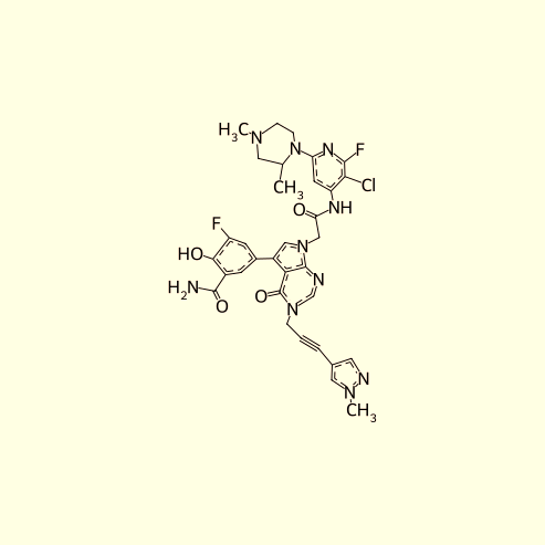 CC1CN(C)CCN1c1cc(NC(=O)Cn2cc(-c3cc(F)c(O)c(C(N)=O)c3)c3c(=O)n(CC#Cc4cnn(C)c4)cnc32)c(Cl)c(F)n1